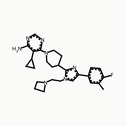 Cc1cc(-c2cn(CCN3CCC3)c(C3CCN(c4ncnc(N)c4C4CC4)CC3)n2)ccc1F